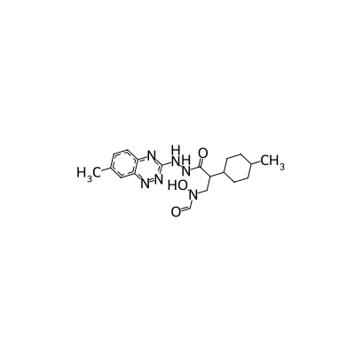 Cc1ccc2nc(NNC(=O)C(CN(O)C=O)C3CCC(C)CC3)nnc2c1